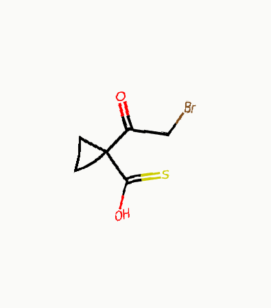 O=C(CBr)C1(C(O)=S)CC1